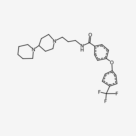 O=C(NCCCN1CCC(N2CCCCC2)CC1)c1ccc(Oc2ccc(C(F)(F)F)cc2)cc1